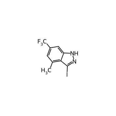 Cc1cc(C(F)(F)F)cc2[nH]nc(I)c12